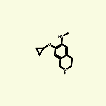 CNc1cc2c(cc1OC1CC1)CNCC2